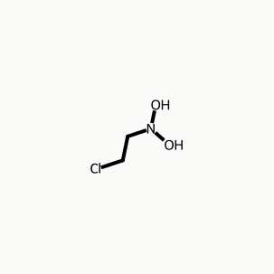 ON(O)CCCl